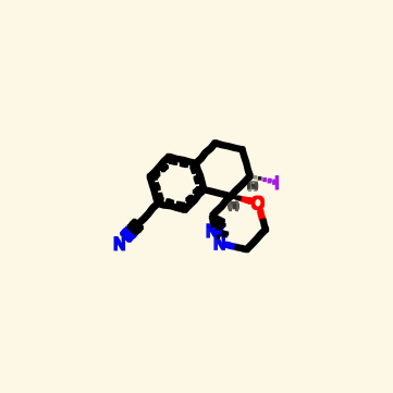 N#Cc1ccc2c(c1)[C@]1(OCCn3cncc31)[C@@H](I)CC2